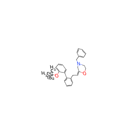 CC(C)(C)[Si](C)(C)Oc1ccccc1-c1ccccc1C/C=C1\CN(Cc2ccccc2)CCO1